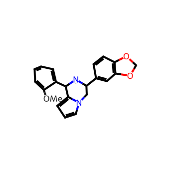 COc1ccccc1C1[N]C(c2ccc3c(c2)OCO3)Cn2cccc21